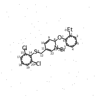 CCc1ccccc1OC1C=CC(CSc2c(Cl)cccc2Cl)=CN1Br